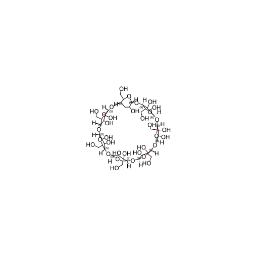 OCC1O[C@@H]2O[C@@H]3C(CO)O[C@H](O[C@@H]4C(CO)O[C@@H](O[C@@H]5C(CO)O[C@@H](O[C@@H]6C(CO)O[C@H](O[C@@H]7C(CO)O[C@H](O[C@H]8CC(O)[C@H](OC8CO)O[C@H]1C(O)C2O)C(O)C7O)C(O)C6O)C(O)C5O)C(O)C4O)C(O)C3O